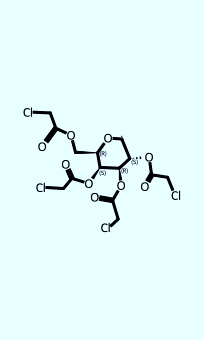 O=C(CCl)OC[C@H]1O[CH][C@H](OC(=O)CCl)[C@@H](OC(=O)CCl)[C@H]1OC(=O)CCl